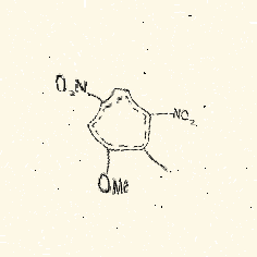 [CH2]c1c(OC)cc([N+](=O)[O-])cc1[N+](=O)[O-]